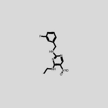 [CH2]CNc1nc(NCc2cccc(F)c2)ncc1[N+](=O)[O-]